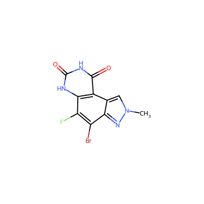 Cn1cc2c(n1)c(Br)c(F)c1[nH]c(=O)[nH]c(=O)c12